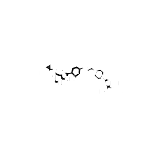 CC(C)(C)OC(=O)N1CCN(CCOc2ccc(-c3nc4c(OC5(C)CC5)ncnc4[nH]3)c(Cl)c2)CC1